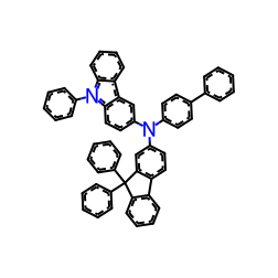 c1ccc(-c2ccc(N(c3ccc4c(c3)C(c3ccccc3)(c3ccccc3)c3ccccc3-4)c3ccc4c(c3)c3ccccc3n4-c3ccccc3)cc2)cc1